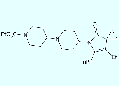 CCCC1=C(CC)C2(CC2)C(=O)N1C1CCN(C2CCN(C(=O)OCC)CC2)CC1